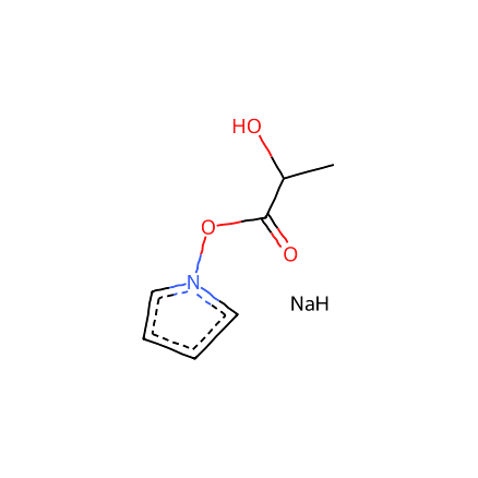 CC(O)C(=O)On1cccc1.[NaH]